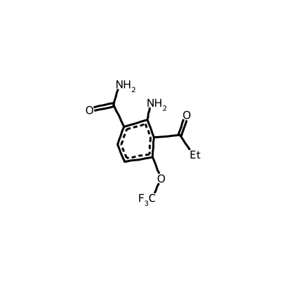 CCC(=O)c1c(OC(F)(F)F)ccc(C(N)=O)c1N